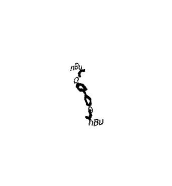 CCCCC(C)CCOc1ccc(-c2ccc(OCCC(C)CCCC)cc2)cc1